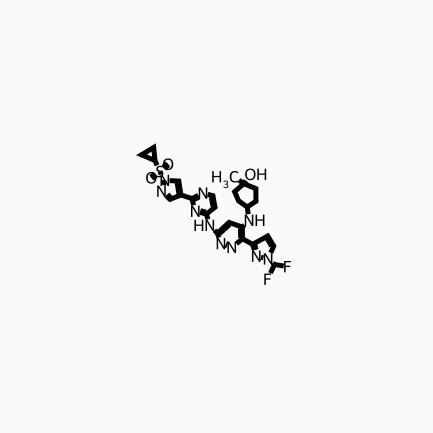 CC1(O)CCC(Nc2cc(Nc3ccnc(-c4cnn(S(=O)(=O)C5CC5)c4)n3)nnc2-c2ccn(C(F)F)n2)CC1